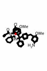 C#CC(=O)N(c1ccc(OC)c(Cl)c1)C1(C(=O)NC(c2ccccc2)(c2ccccc2)c2ccc(Cc3cc(N)ccc3OC)cc2)CCCCC1